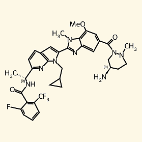 COc1cc(C(=O)N2C[C@H](N)CCN2C)cc2nc(-c3cc4ccc([C@@H](C)NC(=O)c5c(F)cccc5C(F)(F)F)nc4n3CC3CC3)n(C)c12